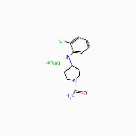 Cl.Cl.NC(=O)N1CCC(Nc2ccccc2Cl)CC1